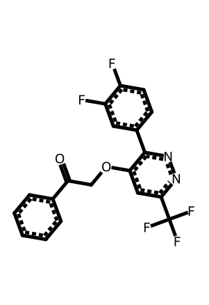 O=C(COc1cc(C(F)(F)F)nnc1-c1ccc(F)c(F)c1)c1ccccc1